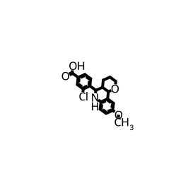 COc1ccc2c(c1)C1OCCCC1C(c1ccc(C(=O)O)cc1Cl)N2